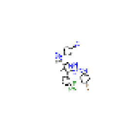 CSc1ccc(Nc2nc3c(-c4cccc(C(F)(F)F)c4)c(C)c(-c4ccnn4-c4ccc(C#N)cc4)cn3n2)cc1